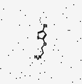 CCc1csc(OCCN)c1